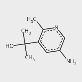 Cc1ncc(N)cc1C(C)(C)O